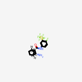 N[C@@H]1[C@@H]2CC[C@@H](C2)[C@@H]1C(=O)Nc1ccc(F)c(S(F)(F)(F)(F)F)c1